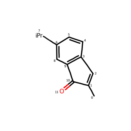 CC1=Cc2ccc(C(C)C)cc2C1=O